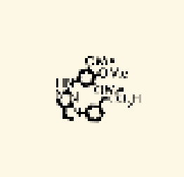 COc1cc(Nc2ncc3ccn(-c4cccc(CC(=O)O)c4)c3n2)cc(OC)c1OC